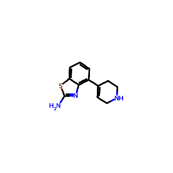 Nc1nc2c(C3=CCNCC3)cccc2s1